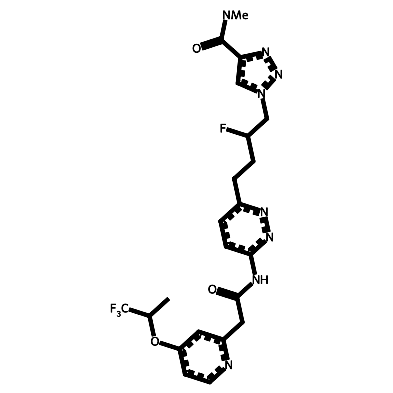 CNC(=O)c1cn(CC(F)CCc2ccc(NC(=O)Cc3cc(OC(C)C(F)(F)F)ccn3)nn2)nn1